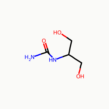 NC(=O)NC(CO)CO